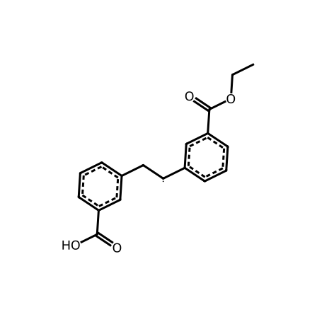 CCOC(=O)c1cccc([CH]Cc2cccc(C(=O)O)c2)c1